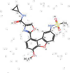 COc1ccc(-c2nc(C(=O)NC3CC3)co2)c2c1oc1ccc(NS(C)(=O)=O)cc12